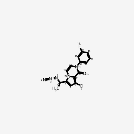 CC(N=[N+]=[N-])c1cc(Cl)c2c(=O)n(-c3cccc(F)c3)ccn12